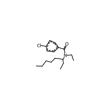 CCCCCC(CC)N(CC)C(=O)c1ccc(Cl)cc1